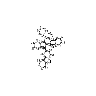 CC1(C)c2ccccc2-c2c1c1c3ccccc3sc1c1c2c2ccccc2n1-c1ccc2oc3ccccc3c2c1